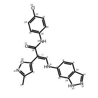 Cc1cc(/C(=C\Nc2ccc3cn[nH]c3c2)C(=O)Nc2ccc(Cl)cc2)on1